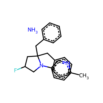 Cc1ccc(N2CC(F)CC2(Cc2ccccc2)Cc2ccccc2)cn1.N